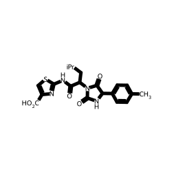 Cc1ccc(C2NC(=O)N(C(CC(C)C)C(=O)Nc3nc(C(=O)O)cs3)C2=O)cc1